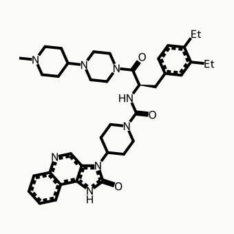 CCc1ccc(C[C@@H](NC(=O)N2CCC(n3c(=O)[nH]c4c5ccccc5ncc43)CC2)C(=O)N2CCN(C3CCN(C)CC3)CC2)cc1CC